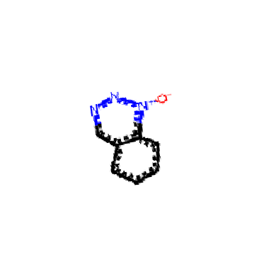 [O-][n+]1nncc2ccccc21